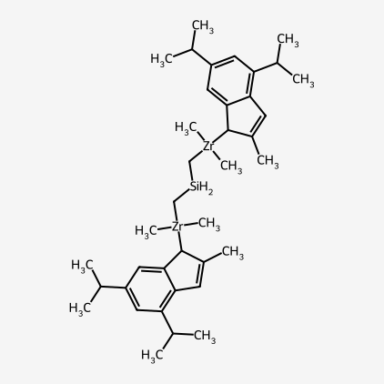 CC1=Cc2c(C(C)C)cc(C(C)C)cc2[CH]1[Zr]([CH3])([CH3])[CH2][SiH2][CH2][Zr]([CH3])([CH3])[CH]1C(C)=Cc2c(C(C)C)cc(C(C)C)cc21